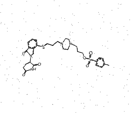 Cc1ccc(S(=O)(=O)OCCCN2CCN(CCCSc3cccc4c3CN(C3CCC(=O)NC3=O)C4=O)CC2)cc1